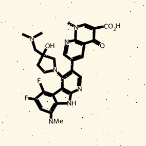 CNc1cc(F)c(F)c2c1[nH]c1ncc(-c3cnc4c(c3)c(=O)c(C(=O)O)cn4C)c(N3CCC(O)(CN(C)C)C3)c12